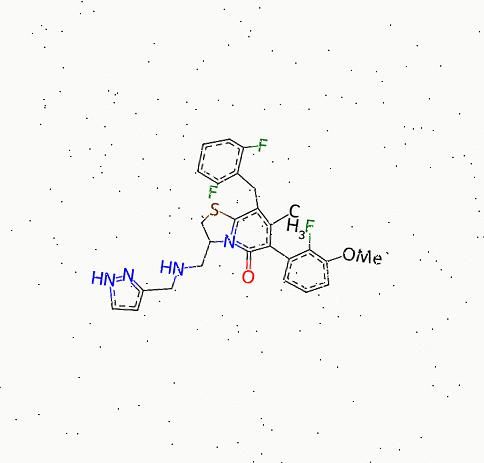 COc1cccc(-c2c(C)c(Cc3c(F)cccc3F)c3n(c2=O)C(CNCc2cc[nH]n2)CS3)c1F